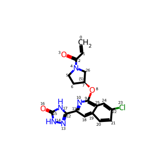 C=CC(=O)N1CC[C@H](Oc2nc(-c3n[nH]c(=O)[nH]3)cc3ccc(Cl)cc23)C1